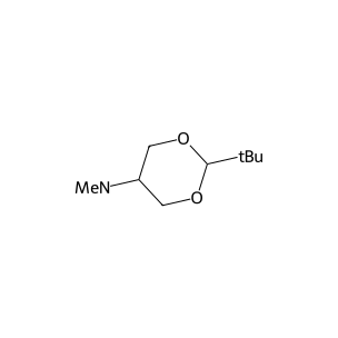 CNC1COC(C(C)(C)C)OC1